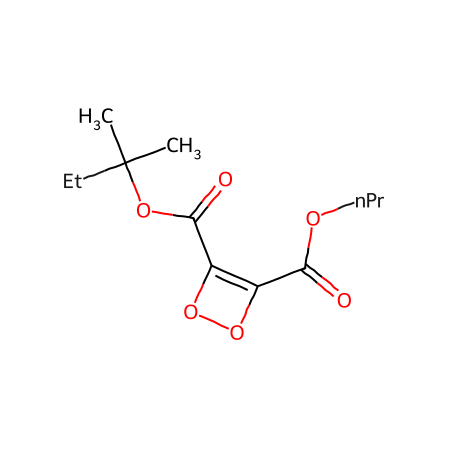 CCCOC(=O)c1ooc1C(=O)OC(C)(C)CC